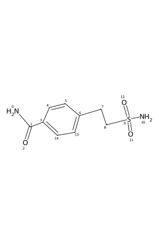 NC(=O)c1ccc(CCS(N)(=O)=O)cc1